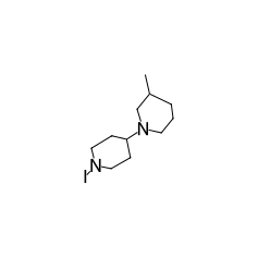 CC1CCCN(C2CCN(I)CC2)C1